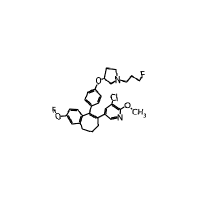 COc1ncc(C2=C(c3ccc(O[C@H]4CCN(CCCF)C4)cc3)c3ccc(OF)cc3CCC2)cc1Cl